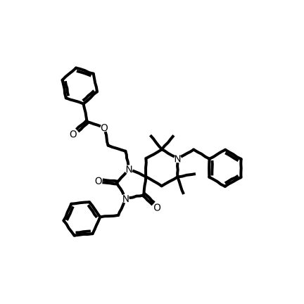 CC1(C)CC2(CC(C)(C)N1Cc1ccccc1)C(=O)N(Cc1ccccc1)C(=O)N2CCOC(=O)c1ccccc1